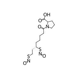 O=NSCC[C@H](CCCCC(=O)N1CCCC1C(=O)O)SN=O